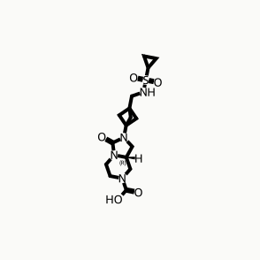 O=C(O)N1CCN2C(=O)N(C34CC(CNS(=O)(=O)C5CC5)(C3)C4)C[C@@H]2C1